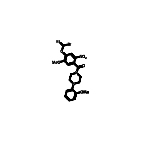 CCC(Br)Oc1cc([N+](=O)[O-])c(C(=O)N2CCN(c3ccccc3OC)CC2)cc1OC